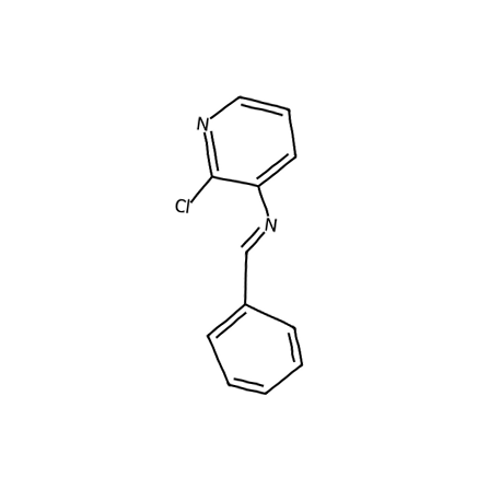 Clc1ncccc1N=Cc1ccccc1